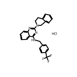 Cl.FC(F)(F)c1ccc(CNc2nc(N3CCc4ccccc4C3)nc3ccccc23)cc1